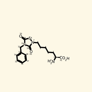 N[C@@H](CCCCCn1sc(=O)n(Cc2ccccc2)c1=O)C(=O)O